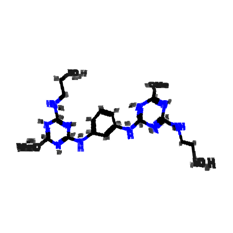 COc1nc(NCCS(=O)(=O)O)nc(Nc2cccc(Nc3nc(NCCS(=O)(=O)O)nc(OC)n3)c2)n1